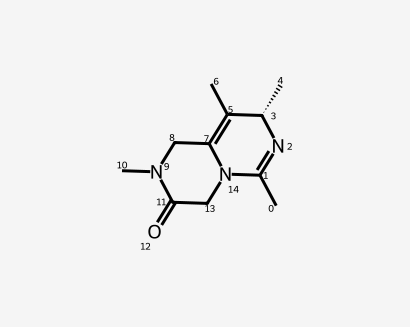 CC1=N[C@@H](C)C(C)=C2CN(C)C(=O)CN12